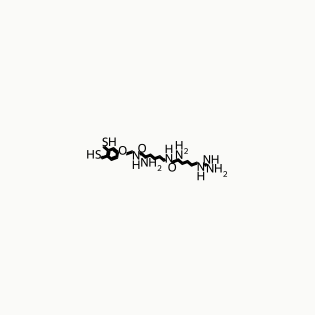 N=C(N)NCCCC[C@H](N)C(=O)NCCCC[C@H](N)C(=O)NCCOc1ccc(CS)c(CS)c1